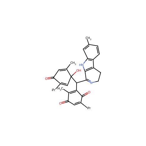 CC1=CC(=O)C(C(C)C)=CC1(O)C(C1=NCCc2c1[nH]c1cc(C)ccc21)C1=C(C)C(=O)C=C(C(C)C)C1=O